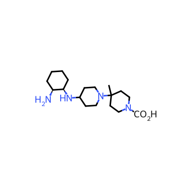 CC1(N2CCC(N[C@@H]3CCCC[C@@H]3N)CC2)CCN(C(=O)O)CC1